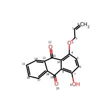 C=CCOc1ccc(O)c2c1C(=O)c1ccccc1C2=O